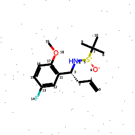 C=CC[C@@H](N[S@@+]([O-])C(C)(C)C)c1cc(F)ccc1OC